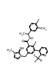 Cc1cc(C(C)NC(=O)c2cc(Cn3ccn(C)c3=N)cc(-c3cccnc3C(F)(F)F)c2F)ccc1F